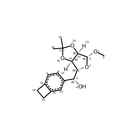 CO[C@@H]1O[C@H]([C@H](O)c2ccc3c(c2)CC3)[C@H]2OC(C)(C)O[C@@H]12